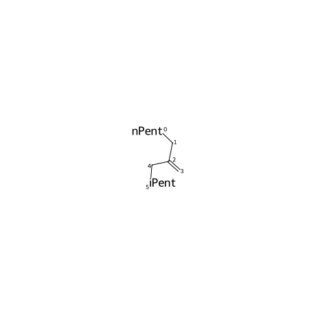 [CH2]CCCCCC(=C)CC(C)CCC